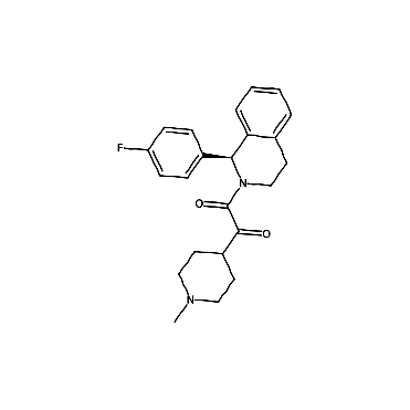 CN1CCC(C(=O)C(=O)N2CCc3ccccc3[C@@H]2c2ccc(F)cc2)CC1